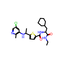 CCNC(=O)C(CC1CCCCC1)NC(=O)c1ccc(C(C)Nc2cc(Cl)cnc2C)s1